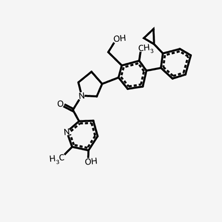 Cc1nc(C(=O)N2CCC(c3ccc(-c4ccccc4C4CC4)c(C)c3CO)C2)ccc1O